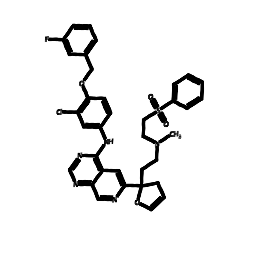 CN(CCC1(c2cc3c(Nc4ccc(OCc5cccc(F)c5)c(Cl)c4)ncnc3cn2)CC=CO1)CCS(=O)(=O)c1ccccc1